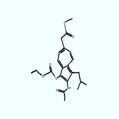 CCOC(=O)Oc1c2ccc(CC(=O)OC)ccc-2c(CC(C)C)c1NC(C)=O